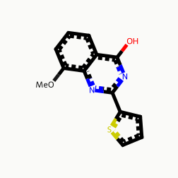 COc1cccc2c(O)nc(-c3cccs3)nc12